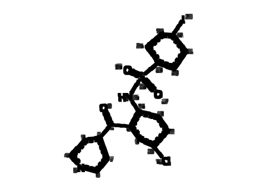 O=C(c1ccncc1)c1cc(Cl)ccc1NS(=O)(=O)c1ccc(I)cc1